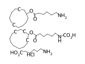 Cl.NCCCCCC(=O)O.NCCCCCC(=O)OC1CCCCCCCCCCC1.O=C(O)NCCCCCC(=O)OC1CCCCCCCCCCC1